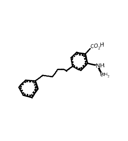 BNc1cc(CCCCc2ccccc2)ccc1C(=O)O